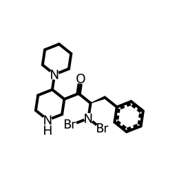 O=C(C1CNCCC1N1CCCCC1)[C@@H](Cc1ccccc1)N(Br)Br